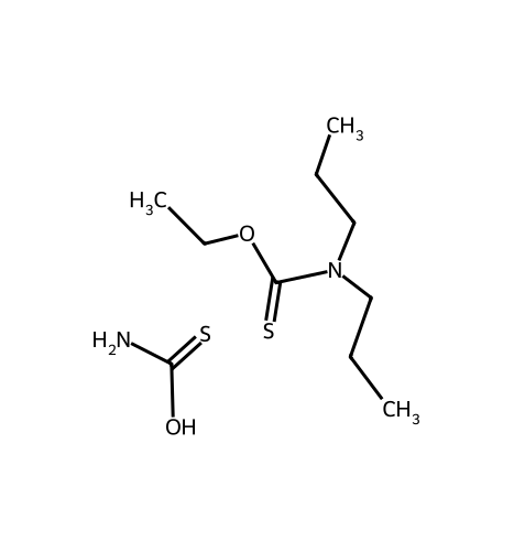 CCCN(CCC)C(=S)OCC.NC(O)=S